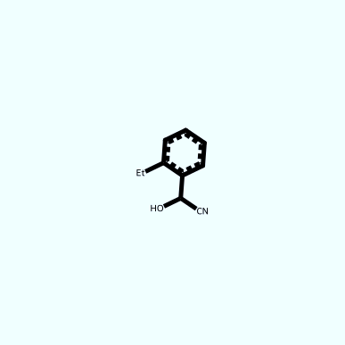 CCc1ccccc1C(O)C#N